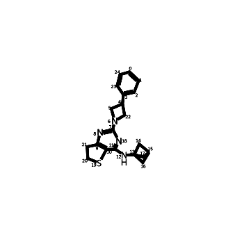 c1ccc(C2CN(c3nc4c(c(NC56CC(C5)C6)n3)SCC4)C2)cc1